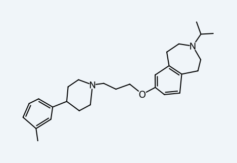 Cc1cccc(C2CCN(CCCOc3ccc4c(c3)CCN(C(C)C)CC4)CC2)c1